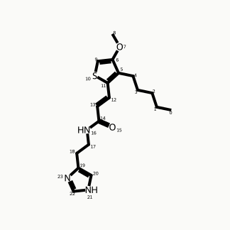 CCCCCc1c(OC)csc1C=CC(=O)NCCc1c[nH]cn1